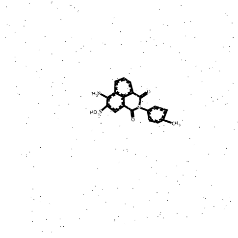 Cc1ccc(N2C(=O)c3cccc4c(N)c(S(=O)(=O)O)cc(c34)C2=O)cc1